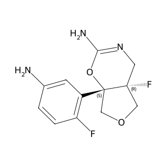 NC1=NC[C@@]2(F)COC[C@]2(c2cc(N)ccc2F)O1